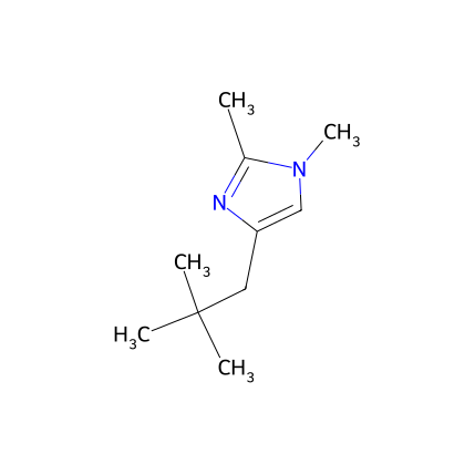 Cc1nc(CC(C)(C)C)cn1C